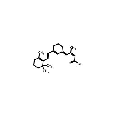 CC1=C(/C=C/C2=CC(=C/C(C)=C\C(=O)O)/CCC2)C(C)(C)CCC1